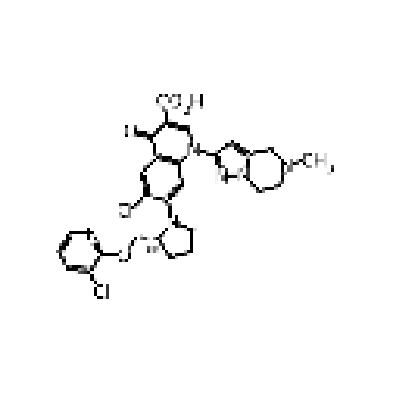 CN1CCn2nc(-n3cc(C(=O)O)c(=O)c4cc(Cl)c(N5CCC[C@@H]5COc5ncccc5Cl)cc43)cc2C1